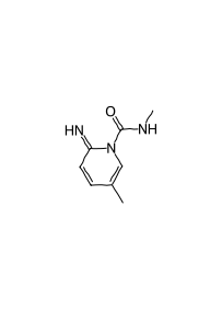 CNC(=O)n1cc(C)ccc1=N